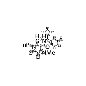 CCCn1c(C)c(C(=O)N[C@H](c2cccc(F)c2)C2CCC2)c(NC)c(Cl)c1=O